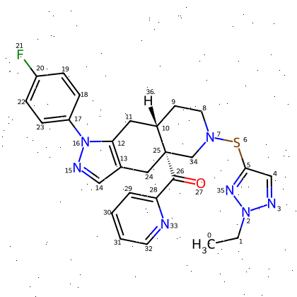 CCn1ncc(SN2CC[C@H]3Cc4c(cnn4-c4ccc(F)cc4)C[C@]3(C(=O)c3ccccn3)C2)n1